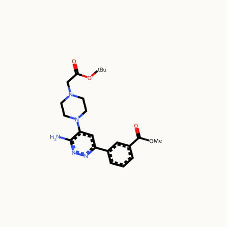 COC(=O)c1cccc(-c2cc(N3CCN(CC(=O)OC(C)(C)C)CC3)c(N)nn2)c1